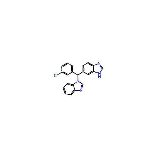 Clc1cccc(C(c2ccc3nc[nH]c3c2)n2cnc3ccccc32)c1